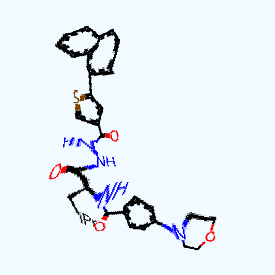 CC(C)C[C@H](NC(=O)c1ccc(N2CCOCC2)cc1)C(=O)NNC(=O)c1csc(-c2cccc3ccccc23)c1